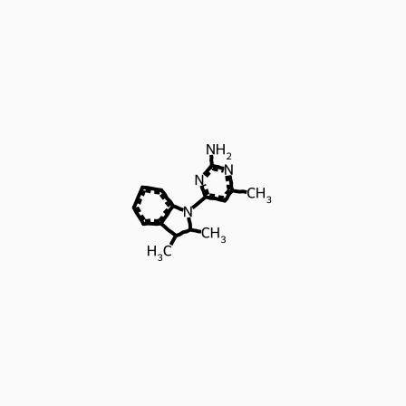 Cc1cc(N2c3ccccc3C(C)C2C)nc(N)n1